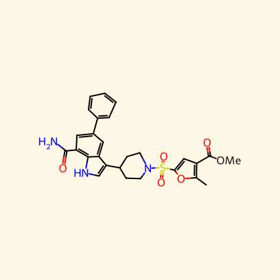 COC(=O)c1cc(S(=O)(=O)N2CCC(c3c[nH]c4c(C(N)=O)cc(-c5ccccc5)cc34)CC2)oc1C